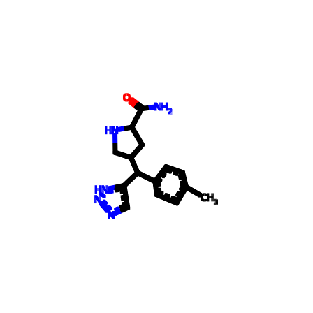 Cc1ccc(C(c2cnn[nH]2)C2CNC(C(N)=O)C2)cc1